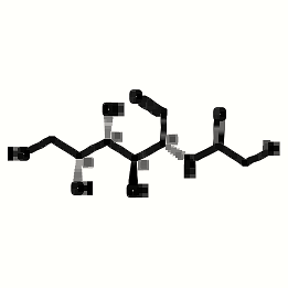 [2H]CC(=O)N[C@@H](C=O)[C@@H](O)[C@@H](O)[C@H](O)CO